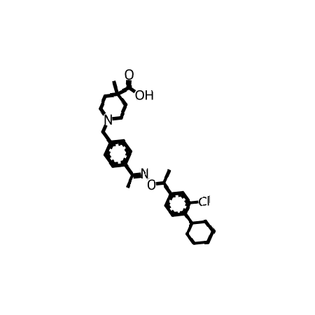 C/C(=N\OC(C)c1ccc(C2CCCCC2)c(Cl)c1)c1ccc(CN2CCC(C)(C(=O)O)CC2)cc1